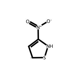 O=[N+]([O-])C1=C[C]SN1